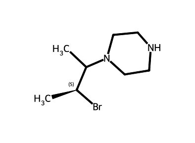 CC([C@H](C)Br)N1CCNCC1